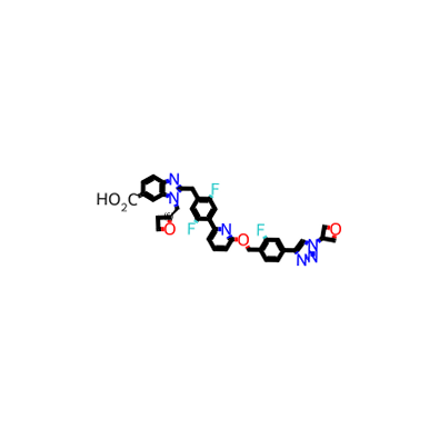 O=C(O)c1ccc2nc(Cc3cc(F)c(-c4cccc(OCc5ccc(-c6cn(C7COC7)nn6)cc5F)n4)cc3F)n(C[C@@H]3CCO3)c2c1